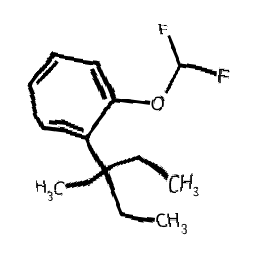 CCC(C)(CC)c1ccccc1OC(F)F